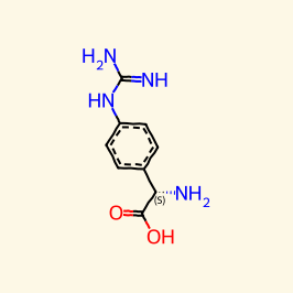 N=C(N)Nc1ccc([C@H](N)C(=O)O)cc1